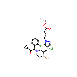 CCOC(=O)CCCn1cc(/C=C2\CN(C(C(=O)C3CC3)c3ccccc3F)CCC2S)cn1.Cl